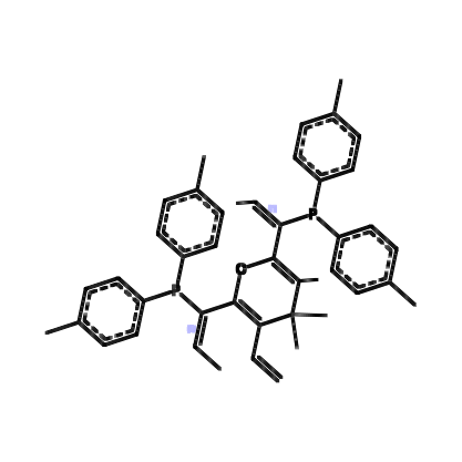 C=CC1=C(/C(=C\C)P(c2ccc(C)cc2)c2ccc(C)cc2)OC(/C(=C\C)P(c2ccc(C)cc2)c2ccc(C)cc2)=C(C)C1(C)C